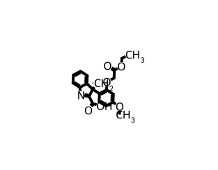 [CH2]C1(c2ccc(OC)cc2OCC(=O)OCC)C(C(=O)O)=Nc2ccccc21